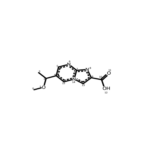 COC(C)c1cnc2nc(C(=O)O)cn2c1